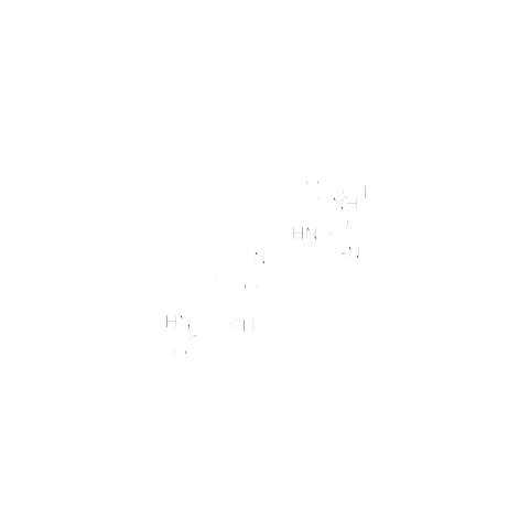 CNC(=O)C(CC1CCN(C(=O)Cc2ccc3[nH]c(=O)cc(C)c3c2)CC1)NC(=O)c1ccccn1